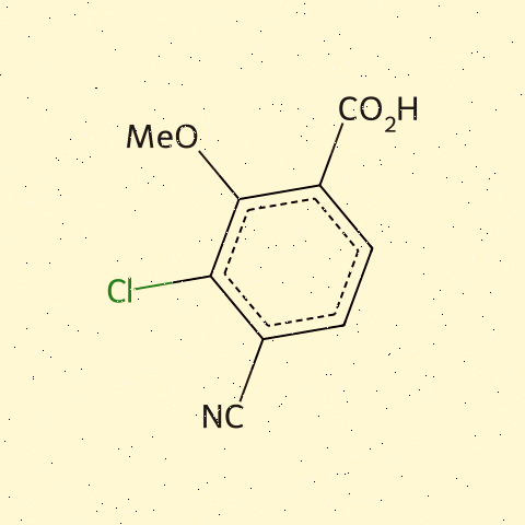 COc1c(C(=O)O)ccc(C#N)c1Cl